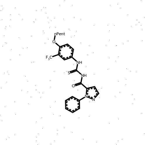 CCCCCOc1ccc(NC(=S)NC(=O)c2ccnn2-c2ccccc2)cc1C(F)(F)F